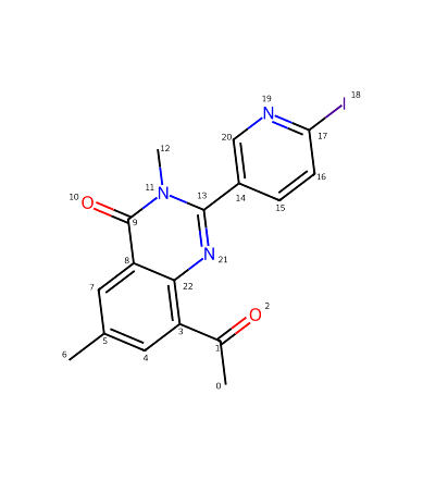 CC(=O)c1cc(C)cc2c(=O)n(C)c(-c3ccc(I)nc3)nc12